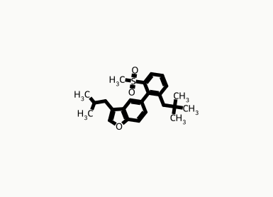 CC(C)Cc1coc2ccc(-c3c(CC(C)(C)C)cccc3S(C)(=O)=O)cc12